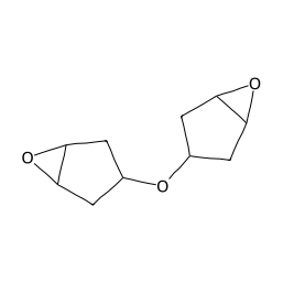 C1C(OC2CC3OC3C2)CC2OC12